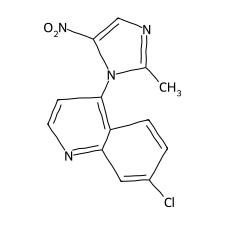 Cc1ncc([N+](=O)[O-])n1-c1ccnc2cc(Cl)ccc12